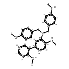 COc1ccc(CN(Cc2ccc(OC)cc2)c2nc(-c3cncnc3OC)ncc2OC)cc1